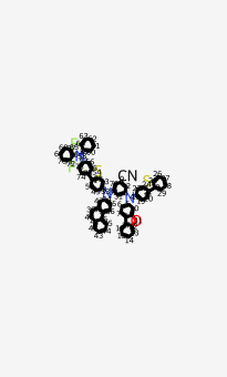 N#Cc1cc(N(c2ccc3c(c2)oc2ccccc23)c2ccc3c(c2)sc2ccccc23)cc(N(c2ccc3c(ccc4ccccc43)c2)c2ccc3c(c2)sc2cc(N(c4ccccc4F)c4ccccc4F)ccc23)c1